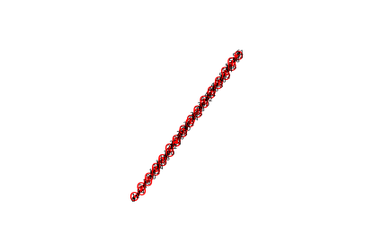 COCCOOCCOOCCOOCCOOCCOOCCOOCCOOCCOOCCOOCCOOCCOOCCOOCCOOCCOOCCOC